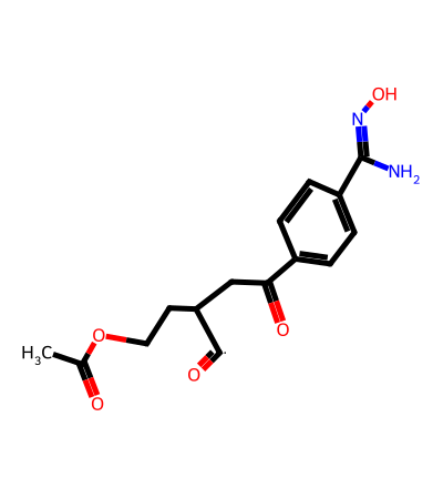 CC(=O)OCCC([C]=O)CC(=O)c1ccc(C(N)=NO)cc1